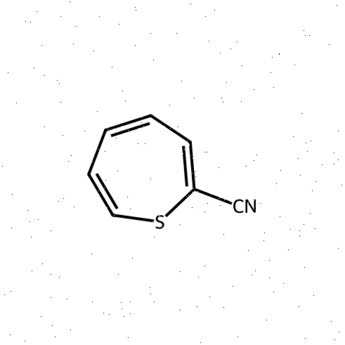 N#CC1=CC=CC=CS1